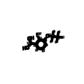 CC(C)(C)[Si](C)(C)Oc1cccc(B(O)O)c1F